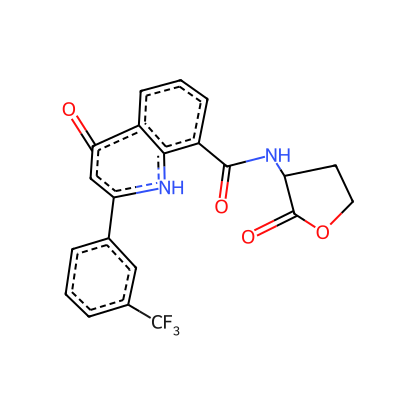 O=C(NC1CCOC1=O)c1cccc2c(=O)cc(-c3cccc(C(F)(F)F)c3)[nH]c12